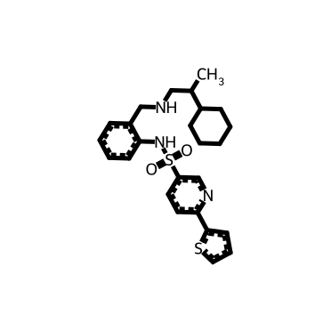 CC(CNCc1ccccc1NS(=O)(=O)c1ccc(-c2cccs2)nc1)C1CCCCC1